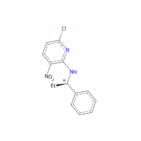 CC[C@@H](Nc1nc(Cl)ccc1[N+](=O)[O-])c1ccccc1